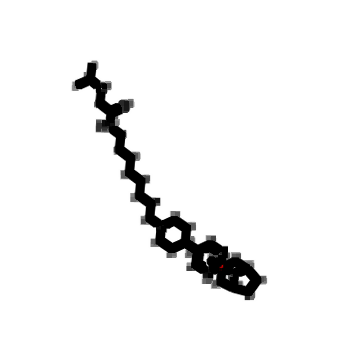 CC(C)OCC(=O)NCCCCCCCCN1CCC(c2cnc(N3C4CCC3CN(C)C4)nc2)CC1